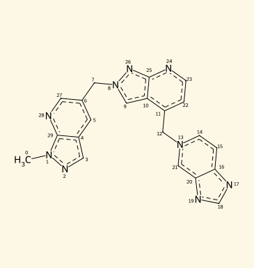 Cn1ncc2cc(Cn3cc4c(Cn5ccc6ncnc-6c5)ccnc4n3)cnc21